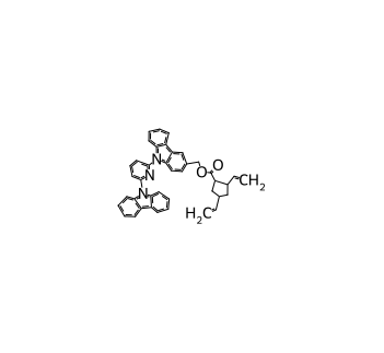 C=CC1CC(C=C)C(C(=O)OCc2ccc3c(c2)c2ccccc2n3-c2cccc(-n3c4ccccc4c4ccccc43)n2)C1